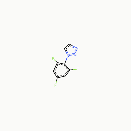 Fc1cc(F)c(-n2ccnn2)c(F)c1